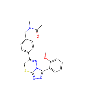 COc1ccccc1-c1nnc2n1N=C(c1ccc(CN(C)C(C)=O)cc1)CS2